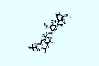 CC(C)OC(=O)[C@H](C)NP(=O)(OCCSC(=O)C(C)(C)C)OC[C@H]1O[C@@H](n2cnc3c(N)ncnc32)[C@H](O)[C@@H]1CF